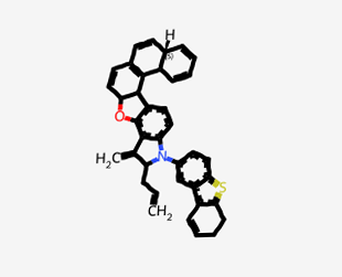 C=CCC1C(=C)c2c(ccc3c2OC2C=CC4=C(C32)C2C=CC=C[C@H]2C=C4)N1c1ccc2sc3c(c2c1)C=CCC3